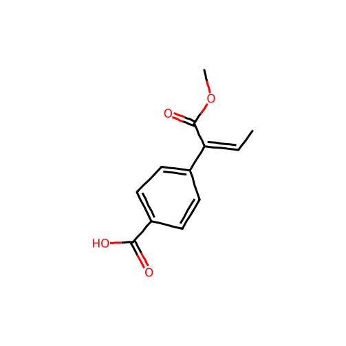 CC=C(C(=O)OC)c1ccc(C(=O)O)cc1